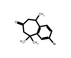 CC1CC(=O)CC(C)(C)c2cc(Br)ccc21